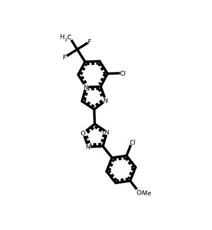 COc1ccc(-c2noc(-c3cn4cc(C(C)(F)F)cc(Cl)c4n3)n2)c(Cl)c1